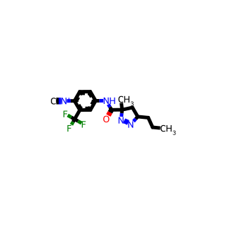 [C-]#[N+]c1ccc(NC(=O)C2(C)CC(CCC)N=N2)cc1C(F)(F)F